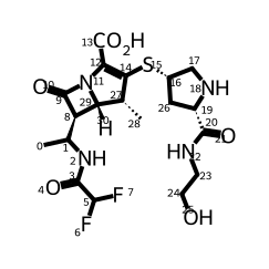 CC(NC(=O)C(F)F)[C@H]1C(=O)N2C(C(=O)O)=C(S[C@@H]3CN[C@H](C(=O)NCCO)C3)[C@H](C)[C@H]12